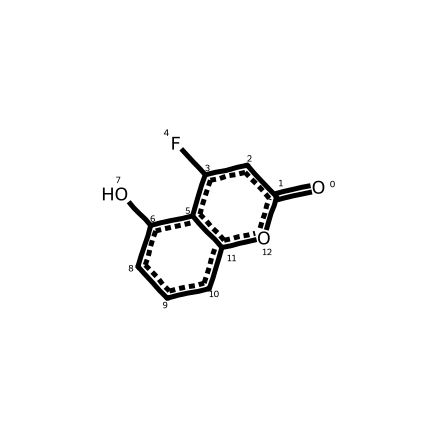 O=c1cc(F)c2c(O)cccc2o1